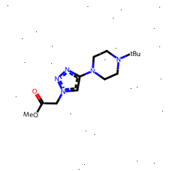 COC(=O)Cn1cc(N2CCN(C(C)(C)C)CC2)nn1